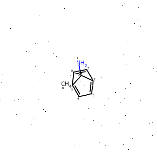 C.NC1C2=CC=C1C=C2